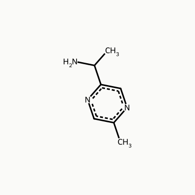 Cc1cnc(C(C)N)cn1